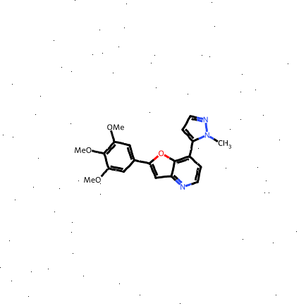 COc1cc(-c2cc3nccc(-c4ccnn4C)c3o2)cc(OC)c1OC